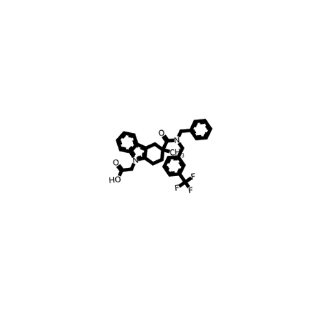 CC1(C(=O)N(Cc2ccccc2)Cc2cccc(C(F)(F)F)c2)CCc2c(c3ccccc3n2CC(=O)O)C1